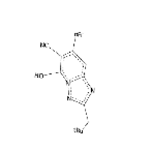 CCCc1cc2nc(CC(C)(C)C)nn2c(O)c1C#N